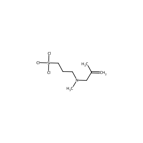 C=C(C)CN(C)CCC[Si](Cl)(Cl)Cl